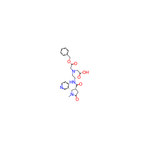 CN1C(=O)C[C@H](C(=O)NCCN(CC(=O)O)CC(=O)OCc2ccccc2)[C@H]1c1cccnc1